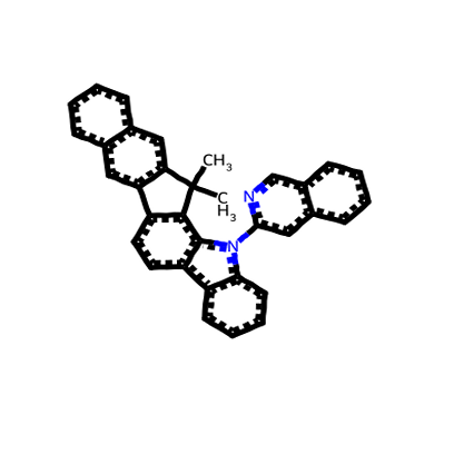 CC1(C)c2cc3ccccc3cc2-c2ccc3c4ccccc4n(-c4cc5ccccc5cn4)c3c21